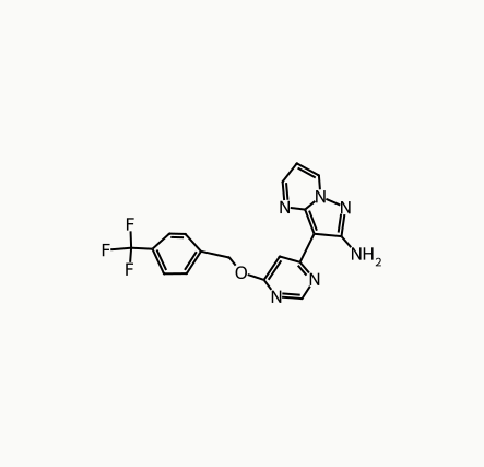 Nc1nn2cccnc2c1-c1cc(OCc2ccc(C(F)(F)F)cc2)ncn1